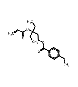 C=CC(=O)OC(CC)(CC)CCOC(=O)c1ccc(CC)cc1